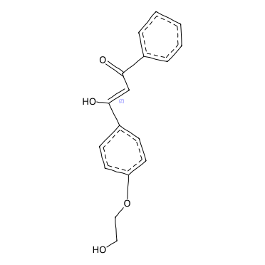 O=C(/C=C(\O)c1ccc(OCCO)cc1)c1ccccc1